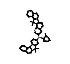 Cc1ccccc1N(c1ccc2c(c1)C(C)(C)c1ccc3ccccc3c1-2)c1ccc2c3c(ccc2c1)-c1ccc2ccccc2c1C3(C)C